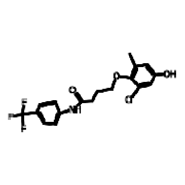 Cc1cc(O)cc(Cl)c1OCCCC(=O)Nc1ccc(C(F)(F)F)cc1